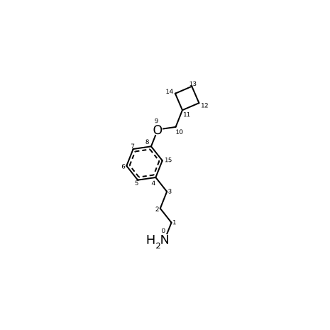 NCCCc1cccc(OCC2CCC2)c1